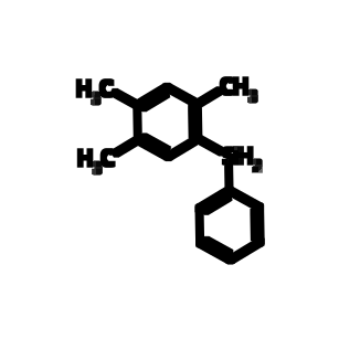 Cc1cc(C)c([SiH2]c2ccccc2)cc1C